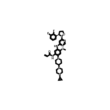 C=CC(=O)Nc1cc(Nc2cc(N3OCC[C@@H]3c3cccc(F)c3F)ncn2)c(OC)cc1N1CCC(N2CCN(C3CC3)CC2)CC1